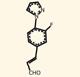 O=CC=Cc1ccc(-n2cccn2)c(F)c1